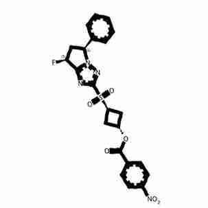 O=C(O[C@H]1C[C@H](S(=O)(=O)c2nc3n(n2)[C@H](c2ccccc2)C[C@@H]3F)C1)c1ccc([N+](=O)[O-])cc1